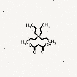 CCC[N+](CCC)(CCC)CCC.O=C([O-])CC(=O)O